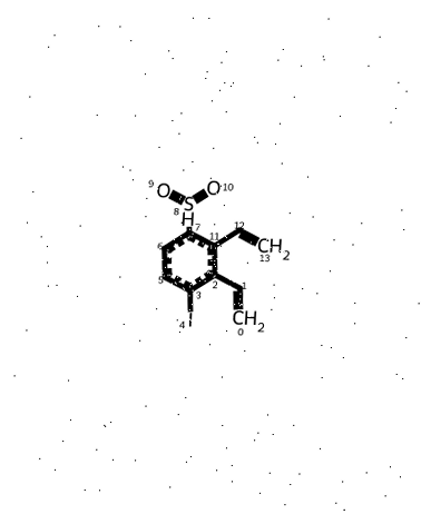 C=Cc1c(I)ccc([SH](=O)=O)c1C=C